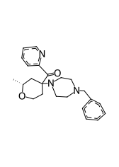 C[C@@H]1CC(C(=O)c2ccccn2)(N2CCN(Cc3ccccc3)CC2)CCO1